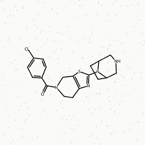 O=C(c1ccc(Cl)cc1)N1CCc2nc(N3C4CCC3CNC4)sc2C1